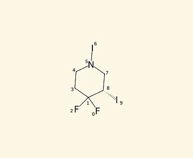 FC1(F)CCN(I)C[C@@H]1I